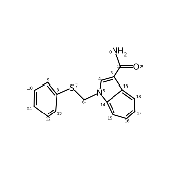 NC(=O)c1cn(CSc2ccccc2)c2ccccc12